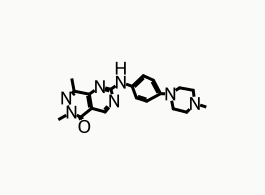 Cc1nn(C)c(=O)c2cnc(Nc3ccc(N4CCN(C)CC4)cc3)nc12